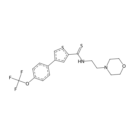 FC(F)(F)Oc1ccc(-c2csc(C(=S)NCCN3CCOCC3)c2)cc1